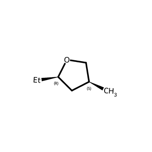 CC[C@@H]1C[C@H](C)CO1